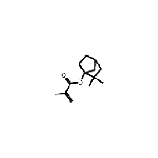 C=C(C)C(=O)OC12CCC(CC1(C)C)C2